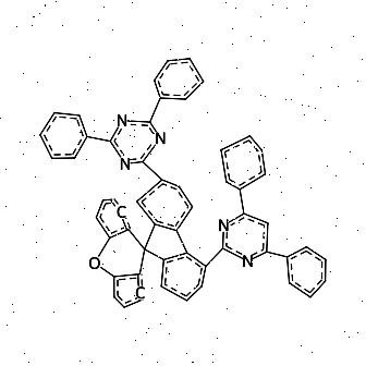 c1ccc(-c2cc(-c3ccccc3)nc(-c3cccc4c3-c3ccc(-c5nc(-c6ccccc6)nc(-c6ccccc6)n5)cc3C43c4ccccc4Oc4ccccc43)n2)cc1